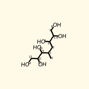 CC(CC(O)C(O)CO)C(O)C(O)CO